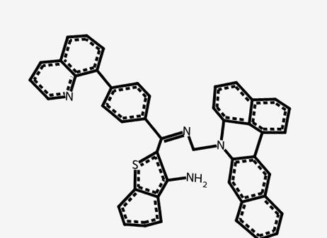 Nc1c(/C(=N\CN2c3cc4ccccc4cc3-c3cccc4cccc2c34)c2ccc(-c3cccc4cccnc34)cc2)sc2ccccc12